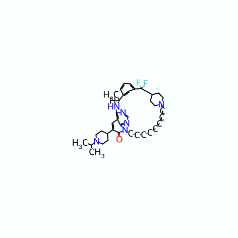 CC(C)N1CCC(c2cc3c4ncnc3n(c2=O)CCCCCCCCN2CCC(CC2)C(F)(F)c2cccc(c2)[C@@H](C)N4)CC1